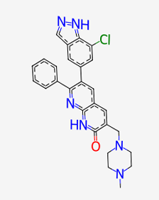 CN1CCN(Cc2cc3cc(-c4cc(Cl)c5[nH]ncc5c4)c(-c4ccccc4)nc3[nH]c2=O)CC1